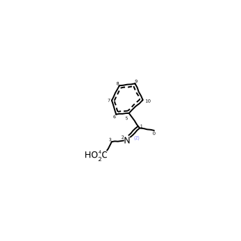 C/C(=N/CC(=O)O)c1ccccc1